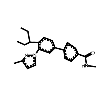 CCC(CC)c1ccc(-c2ccc(C(=O)NC)cc2)cc1-n1ccc(C)n1